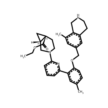 CCOC(=O)[C@@]12CCN(c3cccc(-c4cc(C)ccc4OCc4cc(C)c5c(c4)CCNC5)n3)C[C@@H]1C2